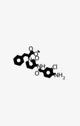 COC(=O)C(Cc1ccccc1)n1cccc(NC(=O)c2ccc(N)c(Cl)c2)c1=O